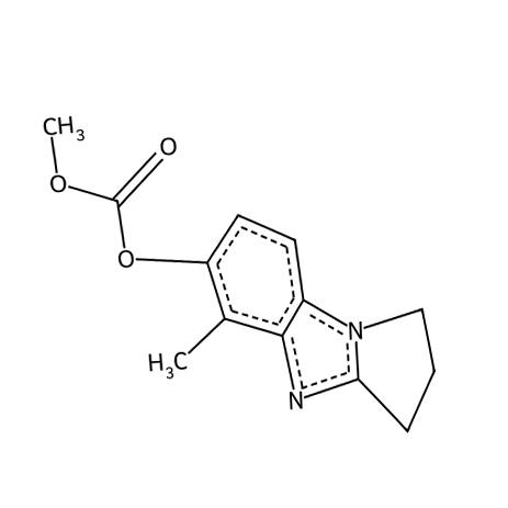 COC(=O)Oc1ccc2c(nc3n2CCC3)c1C